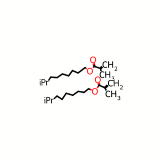 C=C(C)C(=O)OCCCCCCCC(C)C.C=C(C)C(=O)OCCCCCCCC(C)C